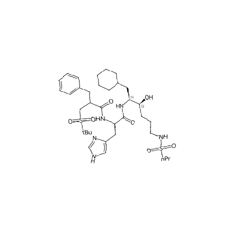 CCCS(=O)(=O)NCCC[C@H](O)[C@H](CC1CCCCC1)NC(=O)C(Cc1c[nH]cn1)NC(=O)C(Cc1ccccc1)CS(=O)(=O)C(C)(C)C